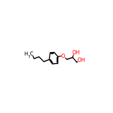 CCCCc1ccc(OCC(O)CO)cc1